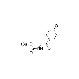 CC(C)(C)OC(=O)NCC(=O)N1CCC(=O)CC1